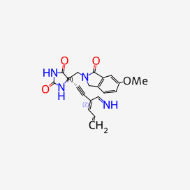 C=C/C=C(/C#C[C@]1(CN2Cc3ccc(OC)cc3C2=O)NC(=O)NC1=O)C=N